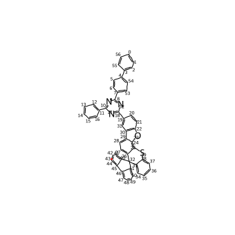 c1ccc(-c2ccc(-c3nc(-c4ccccc4)nc(-c4ccc5oc6c7c(ccc6c5c4)C4(c5ccccc5S7)c5ccccc5-c5ccccc54)n3)cc2)cc1